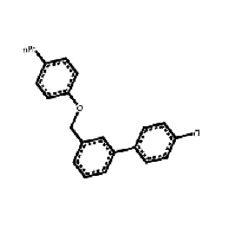 CCCc1ccc(OCc2cccc(-c3ccc(Cl)cc3)c2)cc1